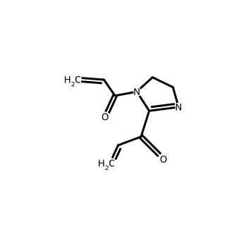 C=CC(=O)C1=NCCN1C(=O)C=C